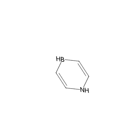 B1C=CNC=C1